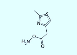 Cc1nc(CC(=O)ON)cs1